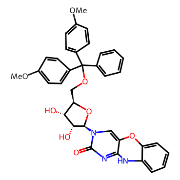 COc1ccc(C(OC[C@H]2O[C@@H](n3cc4c(nc3=O)Nc3ccccc3O4)[C@H](O)[C@@H]2O)(c2ccccc2)c2ccc(OC)cc2)cc1